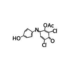 CC(=O)OC1=C(Cl)C(=O)C(Cl)=CC1=Nc1ccc(O)cc1